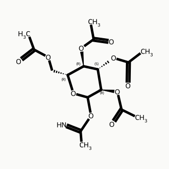 CC(=N)OC1O[C@H](COC(C)=O)[C@@H](OC(C)=O)[C@H](OC(C)=O)[C@H]1OC(C)=O